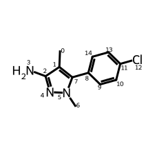 Cc1c(N)nn(C)c1-c1ccc(Cl)cc1